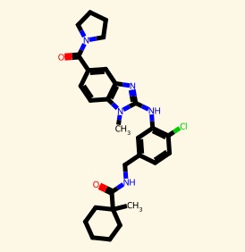 Cn1c(Nc2cc(CNC(=O)C3(C)CCCCC3)ccc2Cl)nc2cc(C(=O)N3CCCC3)ccc21